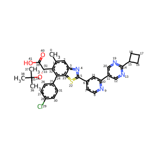 Cc1cc2nc(-c3ccnc(-c4cnc(C5CCC5)nc4)c3)sc2c(-c2ccc(Cl)cc2)c1[C@H](OC(C)(C)C)C(=O)O